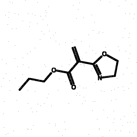 C=C(C(=O)OCCC)C1=NCCO1